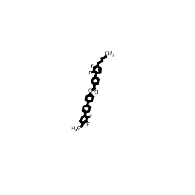 CCCCCc1ccc(C2CCC(C(=O)OC3CCC(C4CC=C(c5ccc(CC)c(F)c5F)CC4)CC3)CC2)c(F)c1F